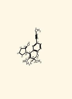 CC#Cc1ccc2c(c1)C(N1CCCC1=O)=C(O)C(C)(C)O2